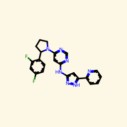 Fc1ccc(C2CCCN2c2cc(Nc3cc(-c4ccccn4)[nH]n3)ncn2)c(F)c1